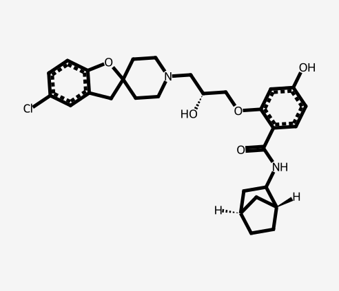 O=C(NC1C[C@@H]2CC[C@@H]1C2)c1ccc(O)cc1OC[C@H](O)CN1CCC2(CC1)Cc1cc(Cl)ccc1O2